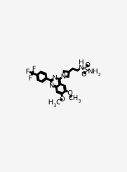 COc1cc2nc(-c3ccc(C(F)(F)F)cc3)nc(N3CC(CCNS(N)(=O)=O)C3)c2cc1OC